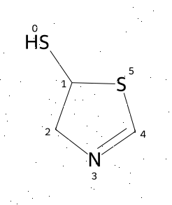 SC1CN=CS1